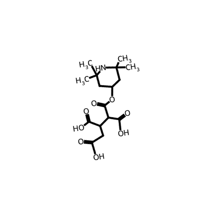 CC1(C)CC(OC(=O)C(C(=O)O)C(CC(=O)O)C(=O)O)CC(C)(C)N1